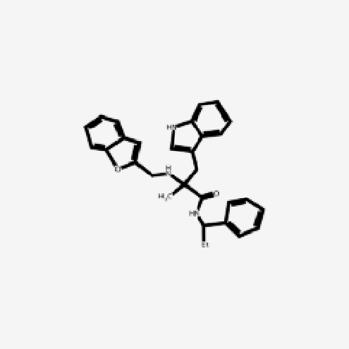 CCC(NC(=O)C(C)(Cc1c[nH]c2ccccc12)NCc1cc2ccccc2o1)c1ccccc1